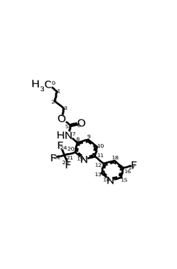 CCCCOC(=O)Nc1ccc(-c2cncc(F)c2)nc1C(F)(F)F